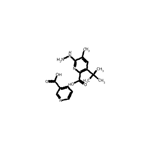 Cc1cc(C(C)(C)C)c(C(=O)O)nc1NN.O=C(O)c1cccnc1